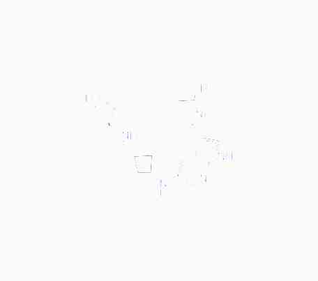 C=CC(=O)NCC1CC(Nc2cnc3[nH]cc(CNC(C)C)c3c2)C1